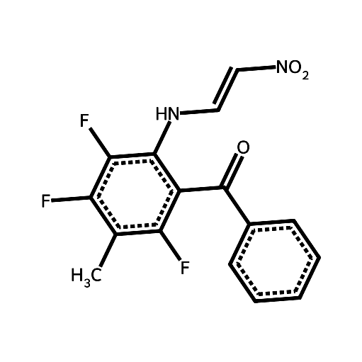 Cc1c(F)c(F)c(NC=C[N+](=O)[O-])c(C(=O)c2ccccc2)c1F